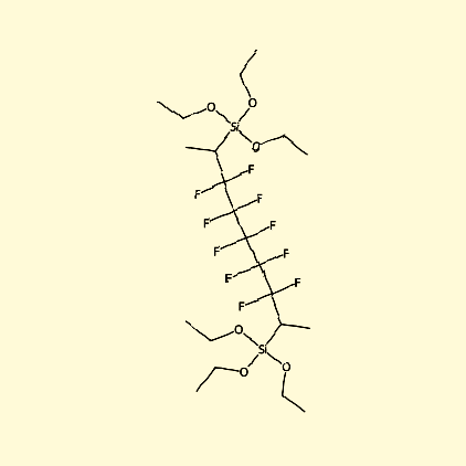 CCO[Si](OCC)(OCC)C(C)C(F)(F)C(F)(F)C(F)(F)C(F)(F)C(F)(F)C(C)[Si](OCC)(OCC)OCC